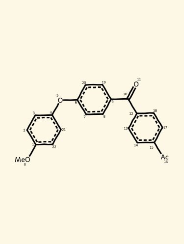 COc1ccc(Oc2ccc(C(=O)c3ccc(C(C)=O)cc3)cc2)cc1